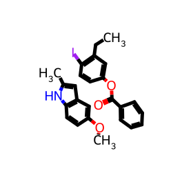 CCc1cc(OC(=O)c2ccccc2)ccc1I.COc1ccc2[nH]c(C)cc2c1